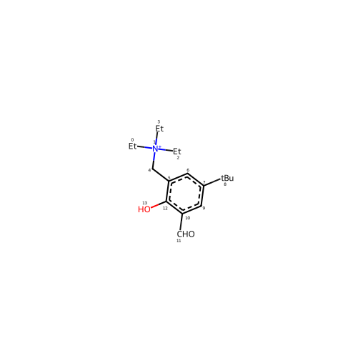 CC[N+](CC)(CC)Cc1cc(C(C)(C)C)cc(C=O)c1O